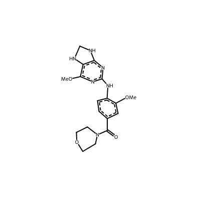 COc1cc(C(=O)N2CCOCC2)ccc1Nc1nc2c(c(OC)n1)NCN2